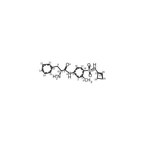 Cc1cc(NC(=O)[C@@H](N)Cc2ccccc2)ccc1S(=O)(=O)NC12CC(C1)C2